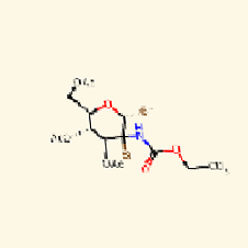 CC(=O)OC[C@H]1O[C@H](Br)C(Br)(NC(=O)OCC(Cl)(Cl)Cl)[C@@H](OC(C)=O)[C@@H]1OC(C)=O